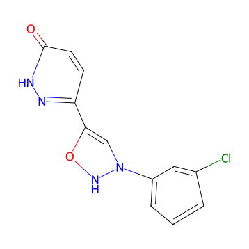 O=c1ccc(C2=CN(c3cccc(Cl)c3)NO2)n[nH]1